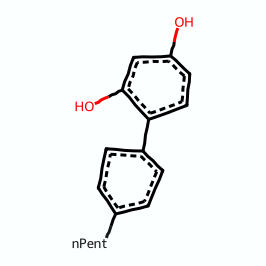 CCCCCc1ccc(-c2ccc(O)cc2O)cc1